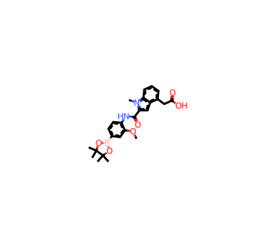 COc1cc(B2OC(C)(C)C(C)(C)O2)ccc1NC(=O)c1cc2c(CC(=O)O)cccc2n1C